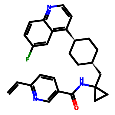 C=Cc1ccc(C(=O)NC2(C[C@H]3CC[C@@H](c4ccnc5ccc(F)cc54)CC3)CC2)cn1